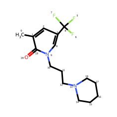 Cc1cc(C(F)(F)F)cn(CCCN2CCCCC2)c1=O